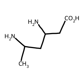 CC(N)CC(N)CC(=O)O